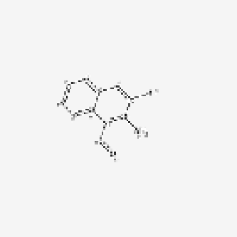 Nc1c(I)cc2ccccc2c1C=O